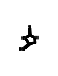 N=C1CNC(=S)N1